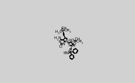 CC1(C)O[C@@H]2[C@H](O1)[C@@H](CO[Si](c1ccccc1)(c1ccccc1)C(C)(C)C)S[C@H]2n1cc(C#C[Si](C)(C)C)c2c(N)nc(Cl)nc21